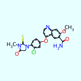 COc1cc2nccc(Oc3ccc(N4CC(=O)N(C)C4=S)c(Cl)c3)c2cc1C(N)=O